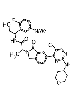 CNc1cc(C(CO)NC(=O)C(C)N2Cc3ccc(-c4nc(NC5CCOCC5)ncc4Cl)cc3C2=O)c(F)cn1